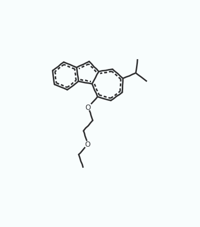 CCOCCOc1ccc(C(C)C)cc2cc3ccccc3c1-2